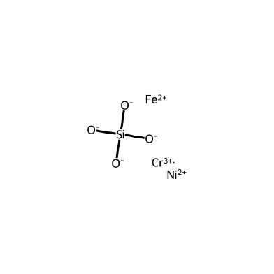 [Cr+3].[Fe+2].[Ni+2].[O-][Si]([O-])([O-])[O-]